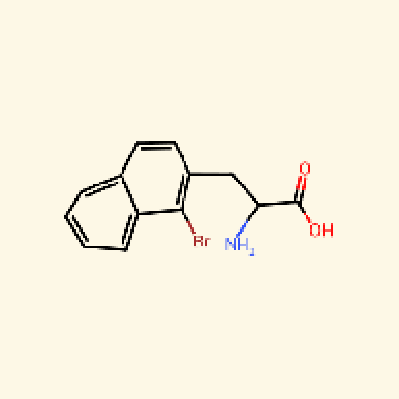 NC(Cc1ccc2ccccc2c1Br)C(=O)O